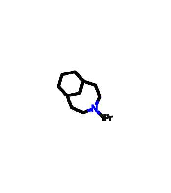 CC(C)N1CCC2CCCC(CC1)C2